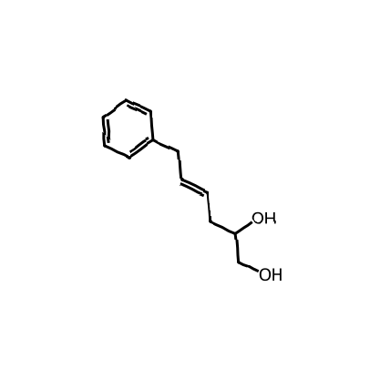 OCC(O)CC=CCc1ccccc1